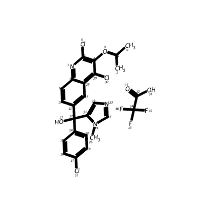 CC(C)Oc1c(Cl)nc2ccc(C(O)(c3ccc(Cl)cc3)c3cncn3C)cc2c1Cl.O=C(O)C(F)(F)F